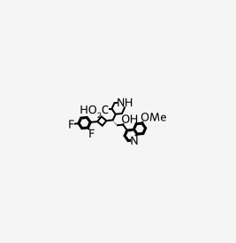 COc1ccc2nccc([C@H](O)C[C@H](C3CC(c4ccc(F)cc4F)C3)C3CCNCC3C(=O)O)c2c1